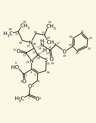 CC(=O)OCC1=C(C(=O)O)N2C(=O)[C@@](NC(=O)COc3ccccc3)(N(CC(C)C)CC(C)C)[C@H]2SC1